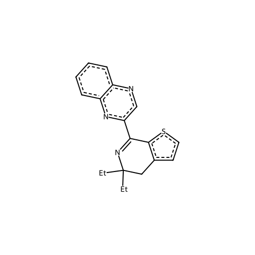 CCC1(CC)Cc2ccsc2C(c2cnc3ccccc3n2)=N1